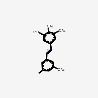 CC(=O)Oc1cc(C)cc(/C=C/c2cc(OC(C)=O)c(OC(C)=O)c(OC(C)=O)c2)c1